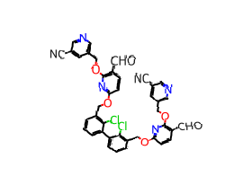 N#Cc1cncc(COc2nc(OCc3cccc(-c4cccc(COc5ccc(C=O)c(OCc6cncc(C#N)c6)n5)c4Cl)c3Cl)ccc2C=O)c1